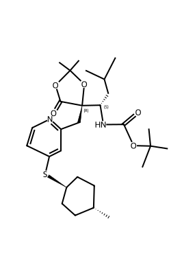 CC(C)C[C@H](NC(=O)OC(C)(C)C)[C@@]1(Cc2cc(S[C@H]3CC[C@H](C)CC3)ccn2)OC(C)(C)OC1=O